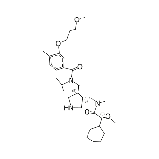 COCCCOc1cc(C(=O)N(C[C@@H]2CNC[C@H]2CN(C)C(=O)[C@@H](OC)C2CCCCC2)C(C)C)ccc1C